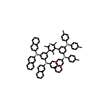 Cc1ccc(N(c2ccc(C)cc2)c2cc(-c3c(C)nc(C)c(-c4cc(N(c5ccc6ccccc6c5)c5ccc6ccccc6c5)cc(N(c5ccc6ccccc6c5)c5ccc6ccccc6c5)c4)c3C)cc(N(c3ccc(C)cc3)c3ccc(C)cc3)c2)cc1